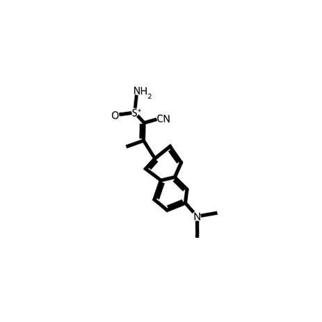 C/C(=C(/C#N)[S+](N)[O-])c1ccc2cc(N(C)C)ccc2c1